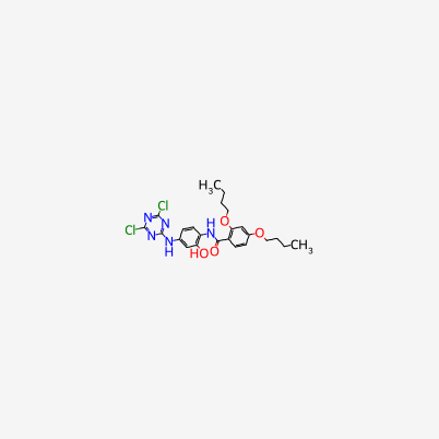 CCCCOc1ccc(C(=O)Nc2ccc(Nc3nc(Cl)nc(Cl)n3)cc2O)c(OCCCC)c1